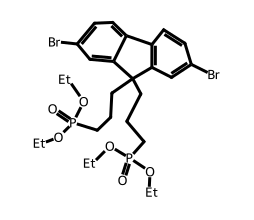 CCOP(=O)(CCCC1(CCCP(=O)(OCC)OCC)c2cc(Br)ccc2-c2ccc(Br)cc21)OCC